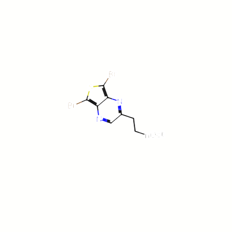 CCCCCCCCCCc1cnc2c(Br)sc(Br)c2n1